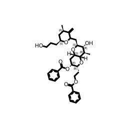 C=C1C(C[C@@H]2O[C@H]3C[C@@H](OC(=O)c4ccccc4)[C@@H](CCOC(=O)c4ccccc4)O[C@H]3[C@H](C)[C@H]2O)O[C@@H](CCCO)C[C@H]1C